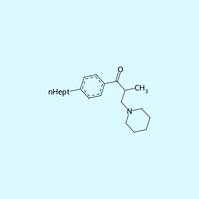 CCCCCCCc1ccc(C(=O)C(C)CN2CCCCC2)cc1